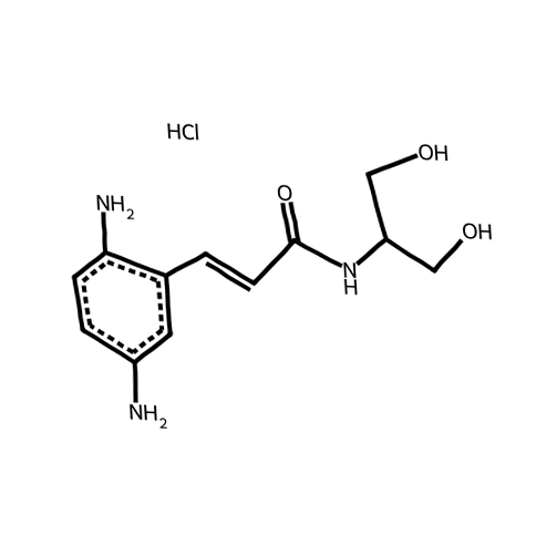 Cl.Nc1ccc(N)c(C=CC(=O)NC(CO)CO)c1